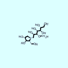 O=S(=O)(O)O[C@@H]([C@H](O)[C@H](O)[C@H](O)CO)[C@H](O)C[S@+]1C[C@@H](O)[C@H](O)[C@H]1CO